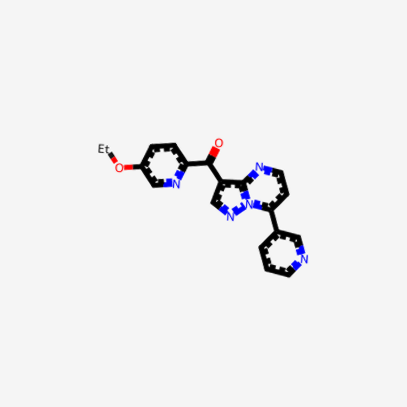 CCOc1ccc(C(=O)c2cnn3c(-c4cccnc4)ccnc23)nc1